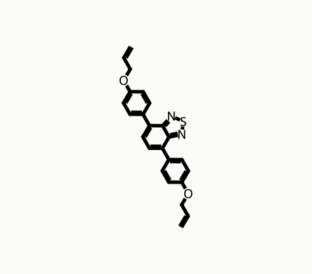 C=CCOc1ccc(-c2ccc(-c3ccc(OCC=C)cc3)c3nsnc23)cc1